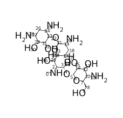 CN[C@@H]1[C@@H](O[C@H]2O[C@H](CO)[C@@H](N)[C@H](O)[C@H]2O)O[C@H]2C[C@@H](N)[C@H](OC3[C@@H](N)C[C@@H](N)[C@H](O)[C@H]3O)O[C@@H]2[C@@H]1O